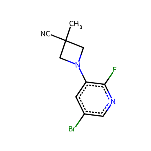 CC1(C#N)CN(c2cc(Br)cnc2F)C1